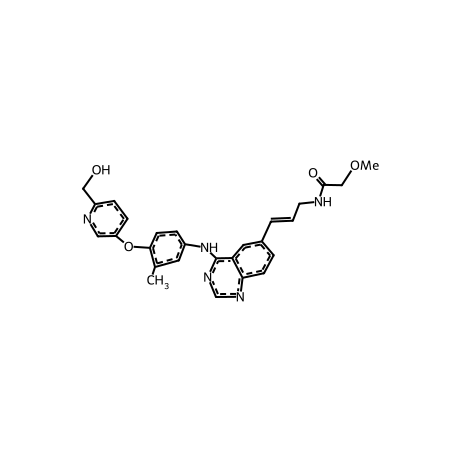 COCC(=O)NC/C=C/c1ccc2ncnc(Nc3ccc(Oc4ccc(CO)nc4)c(C)c3)c2c1